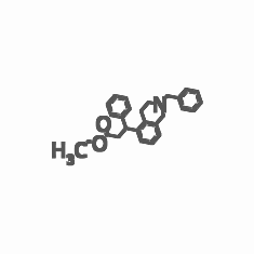 CCOC(=O)CC(c1ccccc1)c1cccc2c1CCN(Cc1ccccc1)C2